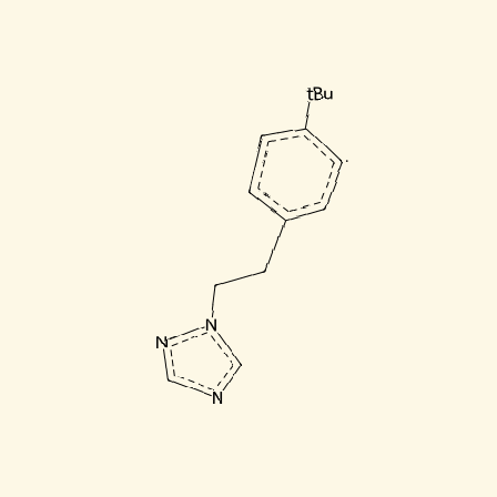 CC(C)(C)c1[c]cc(CCn2cncn2)cc1